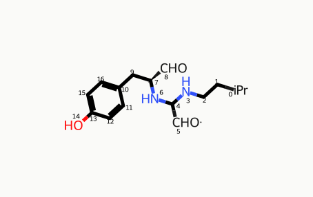 CC(C)CCNC([C]=O)N[C@H](C=O)Cc1ccc(O)cc1